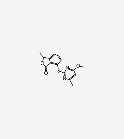 COc1cc(C)nc(Sc2cccc3c2C(=O)OC3C)n1